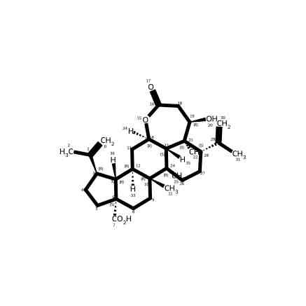 C=C(C)[C@@H]1CC[C@]2(C(=O)O)CC[C@]3(C)[C@H](C[C@H]4OC(=O)C[C@@H](O)[C@]5(C)[C@@H]4[C@@]3(C)CC[C@H]5C(=C)C)[C@@H]12